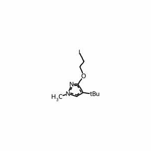 Cn1cc(C(C)(C)C)c(OCCI)n1